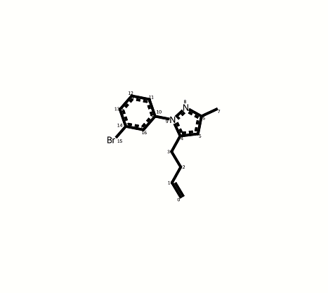 C=CCCc1cc(C)nn1-c1cccc(Br)c1